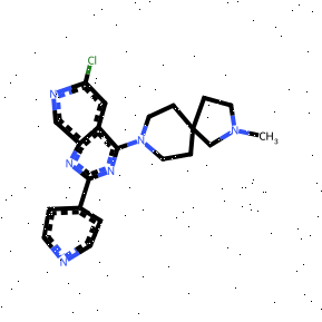 CN1CCC2(CCN(c3nc(-c4ccncc4)nc4cnc(Cl)cc34)CC2)C1